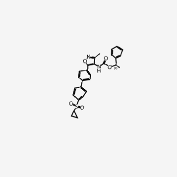 Cc1noc(-c2ccc(-c3ccc(S(=O)(=O)C4CC4)cc3)cc2)c1NC(=O)O[C@H](C)c1ccccc1